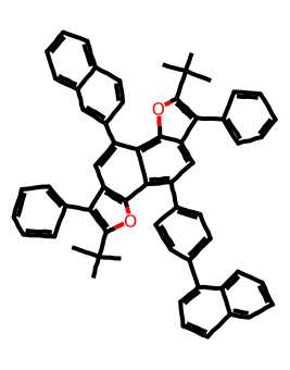 CC(C)(C)c1oc2c(cc(-c3ccc4ccccc4c3)c3c4oc(C(C)(C)C)c(-c5ccccc5)c4cc(-c4ccc(-c5cccc6ccccc56)cc4)c23)c1-c1ccccc1